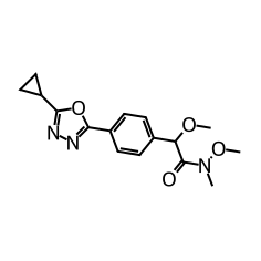 COC(C(=O)N(C)OC)c1ccc(-c2nnc(C3CC3)o2)cc1